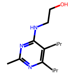 Cc1nc(NCCO)c(C(C)C)c(C(C)C)n1